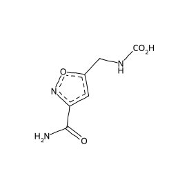 NC(=O)c1cc(CNC(=O)O)on1